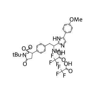 COc1ccc(-c2cnc(C(N)Cc3ccc(C4CC(=O)N(C(C)(C)C)S4(=O)=O)cc3)[nH]2)cc1.O=C(O)C(F)(F)F.O=C(O)C(F)(F)F